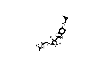 CC(=O)N[C@@H](C)COc1n[nH]c(-c2nc3ccc(OCC4CC4)cc3o2)c1F